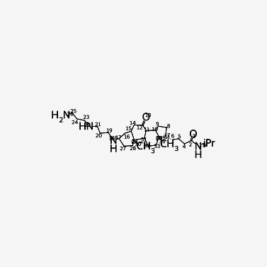 CC(C)NC(=O)CCC[C@H]1CCC2C3C(=O)CC4CC(NCCCNCCCN)CC[C@]4(C)C3CC[C@@]21C